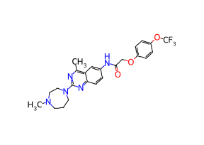 Cc1nc(N2CCCN(C)CC2)nc2ccc(NC(=O)COc3ccc(OC(F)(F)F)cc3)cc12